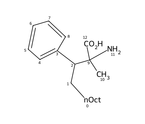 CCCCCCCCCC(c1ccccc1)C(C)(N)C(=O)O